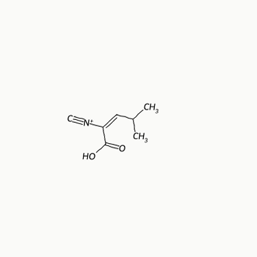 [C-]#[N+]C(=CC(C)C)C(=O)O